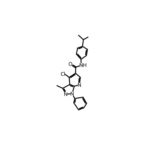 Cc1nn(-c2ccccc2)c2ncc(C(=O)Nc3ccc(C(C)C)cc3)c(Cl)c12